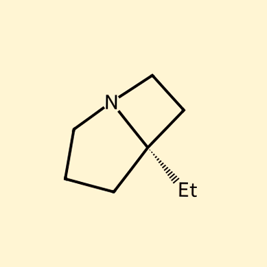 CC[C@]12CCCN1CC2